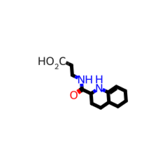 O=C(O)CCNC(=O)C1CCC2CCCC=C2N1